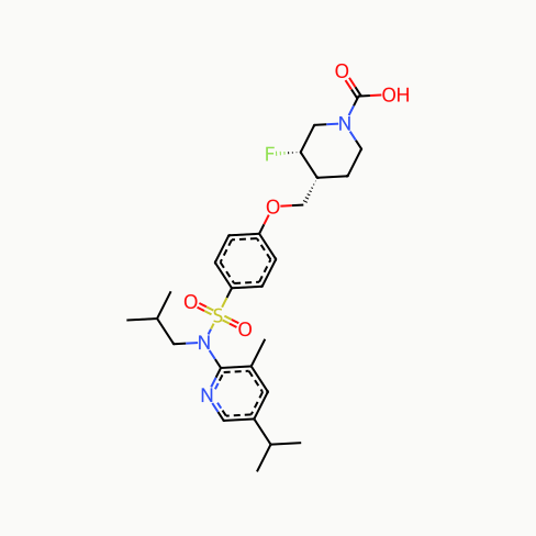 Cc1cc(C(C)C)cnc1N(CC(C)C)S(=O)(=O)c1ccc(OC[C@H]2CCN(C(=O)O)C[C@H]2F)cc1